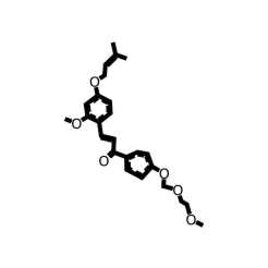 COCCOCOc1ccc(C(=O)/C=C/c2ccc(OCC=C(C)C)cc2OC)cc1